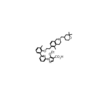 CCOc1c(C(=O)O)cnn1-c1cccc(-c2cccc(C)c2OCCc2ccc3c(c2C)CCN(CC2CCOC(C)(C)C2)C3)n1